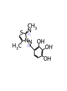 C/N=c1\scc(C)n1/N=C/c1ccc(O)c(O)c1O